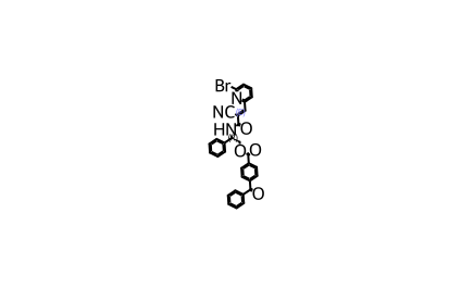 N#C/C(=C\c1cccc(Br)n1)C(=O)N[C@@H](COC(=O)c1ccc(C(=O)c2ccccc2)cc1)c1ccccc1